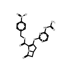 CC(=O)Nc1ccnc(SC2=C(C(=O)OCc3ccc([N+](=O)[O-])cc3)N3C(=O)CC3C2)n1